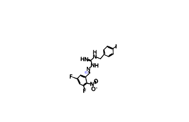 N=C(NCc1ccc(I)cc1)N/N=C/c1cc(F)cc(F)c1[N+](=O)[O-]